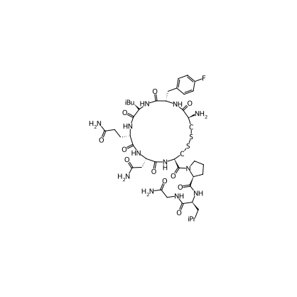 CC[C@H](C)C1NC(=O)[C@H](Cc2ccc(F)cc2)NC(=O)[C@@H](N)CSSC[C@@H](C(=O)N2CCC[C@H]2C(=O)N[C@@H](CC(C)C)C(=O)NCC(N)=O)NC(=O)[C@H](CC(N)=O)NC(=O)[C@H](CCC(N)=O)NC1=O